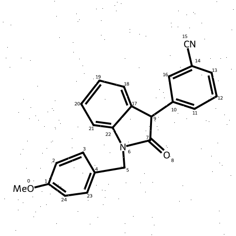 COc1ccc(CN2C(=O)C(c3cccc(C#N)c3)c3ccccc32)cc1